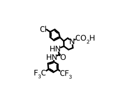 O=C(Nc1cc(C(F)(F)F)cc(C(F)(F)F)c1)NC1CCN(C(=O)O)CC1c1ccc(Cl)cc1